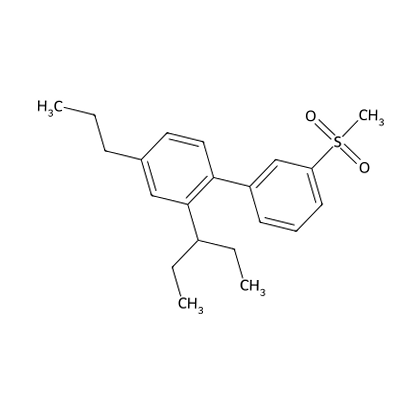 CCCc1ccc(-c2cccc(S(C)(=O)=O)c2)c(C(CC)CC)c1